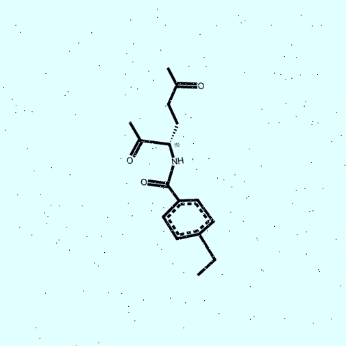 CCc1ccc(C(=O)N[C@@H](CCC(C)=O)C(C)=O)cc1